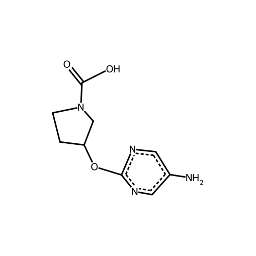 Nc1cnc(OC2CCN(C(=O)O)C2)nc1